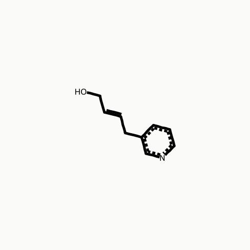 OCC=CCc1cccnc1